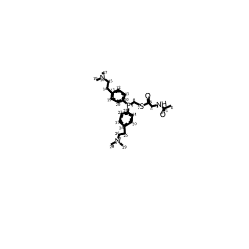 CC(=O)NCC(=O)SCP(c1ccc(CCN(C)C)cc1)c1ccc(CCN(C)C)cc1